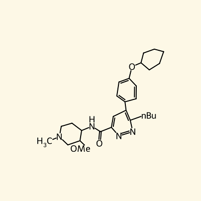 CCCCc1nnc(C(=O)NC2CCN(C)CC2OC)cc1-c1ccc(OC2CCCCC2)cc1